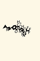 CC1(C)c2ccc(-n3cnc(C4CC4)c3)cc2C(=O)N1c1csc(-c2nncn2C(CF)C(F)F)n1